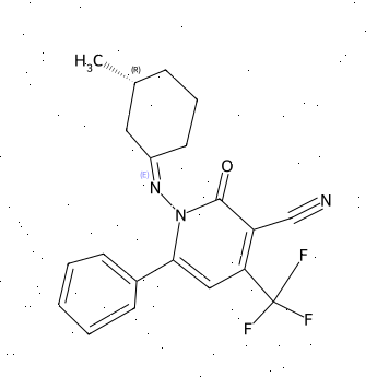 C[C@@H]1CCC/C(=N\n2c(-c3ccccc3)cc(C(F)(F)F)c(C#N)c2=O)C1